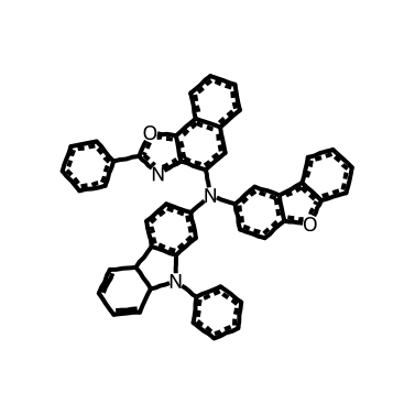 C1=CC2c3ccc(N(c4ccc5oc6ccccc6c5c4)c4cc5ccccc5c5oc(-c6ccccc6)nc45)cc3N(c3ccccc3)C2C=C1